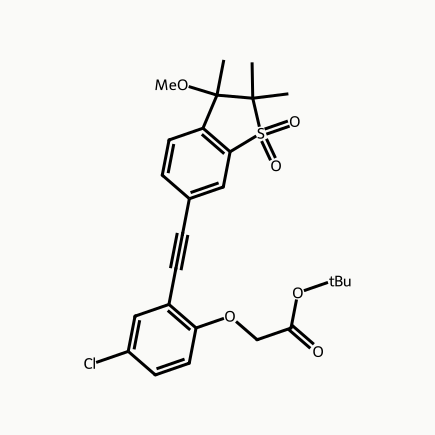 COC1(C)c2ccc(C#Cc3cc(Cl)ccc3OCC(=O)OC(C)(C)C)cc2S(=O)(=O)C1(C)C